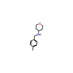 Cc1ccc(CNC2CCOCC2)cc1